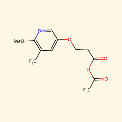 COc1ncc(OCCC(=O)OC(=O)C(F)(F)F)cc1C(F)(F)F